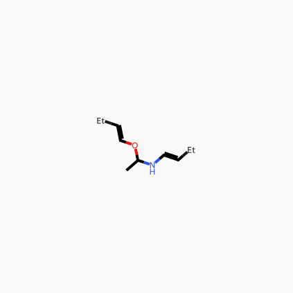 CCC=CNC(C)OC=CCC